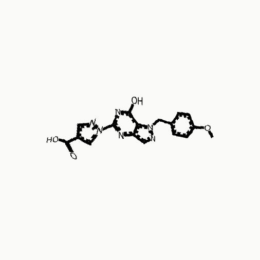 COc1ccc(Cn2ncc3nc(-n4cc(C(=O)O)cn4)nc(O)c32)cc1